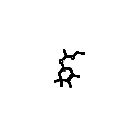 CCOC(C)O[C@H]1CC(C)=C(C)C(C)(C)C1